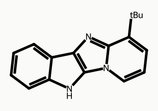 CC(C)(C)c1cccn2c1nc1c3ccccc3[nH]c12